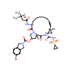 CC(C)(C)CC(=O)N[C@H]1CCCCC/C=C\[C@@H]2C[C@@]2(C(=O)NS(=O)(=O)C2CC2)NC(=O)[C@@H]2C[C@@H](OC(=O)N3Cc4ccc(Br)cc4C3)CN2C1=O